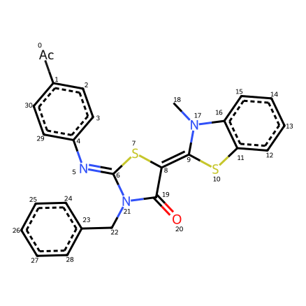 CC(=O)c1ccc(N=C2SC(=C3Sc4ccccc4N3C)C(=O)N2Cc2ccccc2)cc1